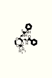 CC1(C)OCCO[C@H](CNC(=S)Nc2ccccc2)[C@H](CNC(=O)c2ccccc2)O1